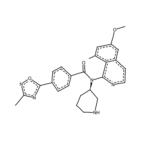 COc1cc(C)c2c(N(C(=O)c3ccc(-c4nc(C)no4)cc3)[C@@H]3CCCNC3)nccc2c1